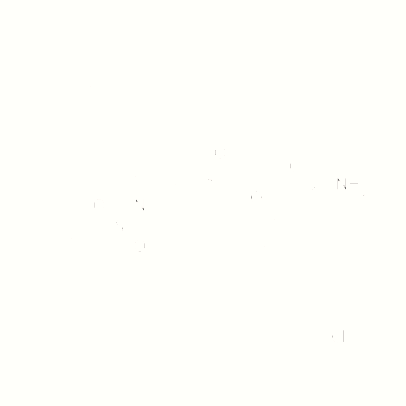 Cc1cc(C)c(S(=O)(=O)n2cc(C(=O)COc3cc4ccc(Cl)cc4cc3C(N)=O)c3ccc(CC4CC4)cc32)c(C)c1